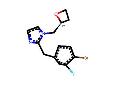 Fc1cc(Cc2nccn2C[C@@H]2CCO2)ccc1Br